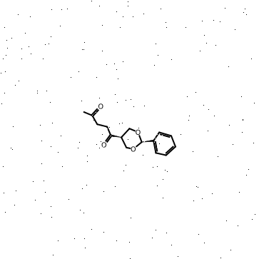 CC(=O)CCC(=O)[C@H]1CO[C@@H](c2ccccc2)OC1